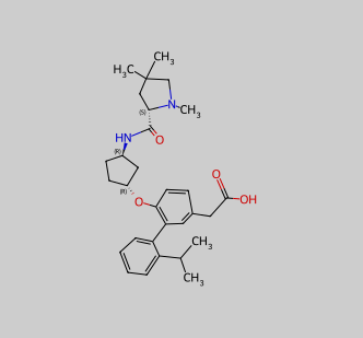 CC(C)c1ccccc1-c1cc(CC(=O)O)ccc1O[C@@H]1CC[C@@H](NC(=O)[C@@H]2CC(C)(C)CN2C)C1